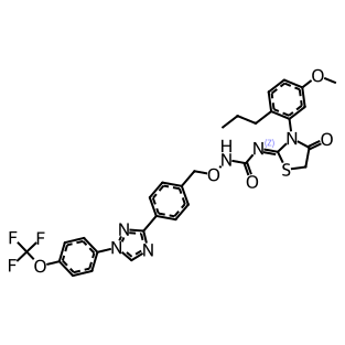 CCCc1ccc(OC)cc1N1C(=O)CS/C1=N\C(=O)NOCc1ccc(-c2ncn(-c3ccc(OC(F)(F)F)cc3)n2)cc1